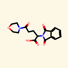 O=C(O)C(CCC(=O)N1CCOCC1)N1C(=O)c2ccccc2C1=O